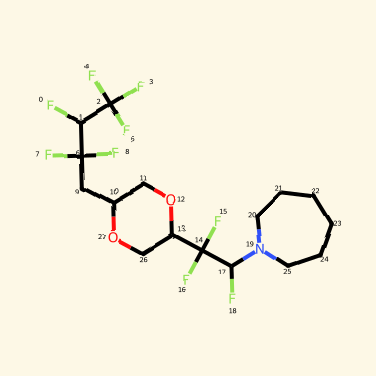 FC(C(F)(F)F)C(F)(F)CC1COC(C(F)(F)C(F)N2CCCCCC2)CO1